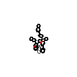 c1ccc2c(c1)Oc1cccc3c4cc(-c5ccccc5N(c5ccc(-c6ccc7ccccc7c6)cc5)c5ccc(-c6ccccc6-c6ccc7ccccc7c6)cc5)ccc4n-2c13